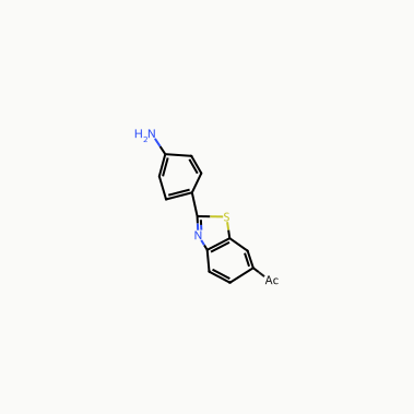 CC(=O)c1ccc2nc(-c3ccc(N)cc3)sc2c1